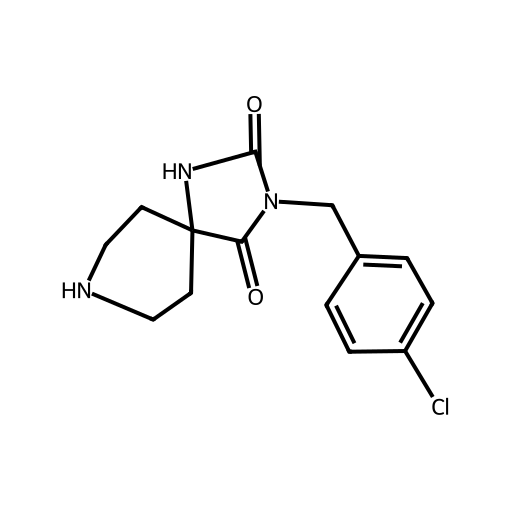 O=C1NC2(CCNCC2)C(=O)N1Cc1ccc(Cl)cc1